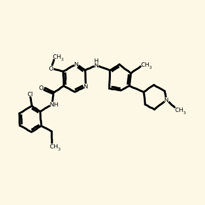 CCc1cccc(Cl)c1NC(=O)c1cnc(Nc2ccc(C3CCN(C)CC3)c(C)c2)nc1OC